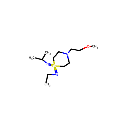 CCN=S1(=NC(C)C)CCN(CCOC)CC1